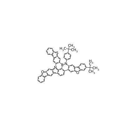 CC(C)(C)c1ccc(N2B3c4cc5sc6ccccc6c5cc4-n4c5cc6oc7ccccc7c6cc5c5ccc(c3c54)-c3cc4oc5cc(C(C)(C)C)ccc5c4cc32)cc1